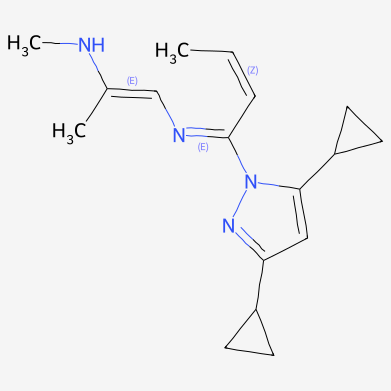 C\C=C/C(=N\C=C(/C)NC)n1nc(C2CC2)cc1C1CC1